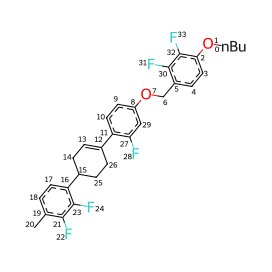 CCCCOc1ccc(COc2ccc(C3=CCC(c4ccc(C)c(F)c4F)CC3)c(F)c2)c(F)c1F